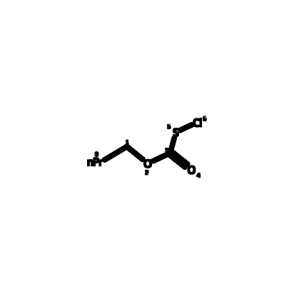 CCCCOC(=O)SCl